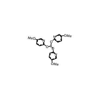 COc1ccc(OB(Oc2ccc(OC)cn2)Oc2ccc(OC)cn2)nc1